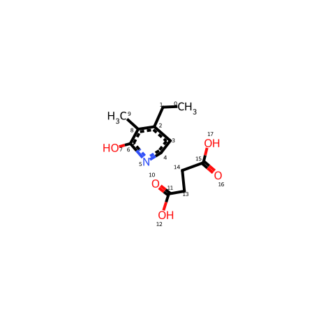 CCc1ccnc(O)c1C.O=C(O)CCC(=O)O